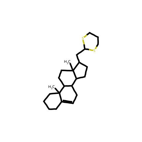 CC12CCCCC1=CCC1C2CCC2(C)C(CC3SCCCS3)CCC12